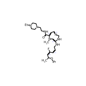 CCN1CCN(CCNC(=O)/C2=C/C=N/CN/C(NC/C=C\C(F)=C/C(C)OC(C)C)=C/N2C)CC1